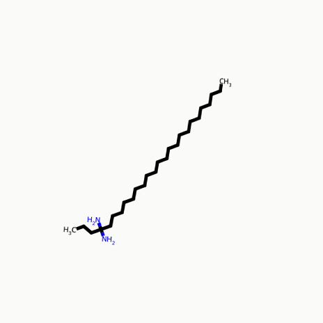 CCCCCCCCCCCCCCCCCCCCCCC(N)(N)CCC